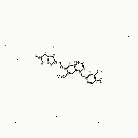 COc1cc2c(Nc3ccc(Cl)c(Cl)c3)ncnc2cc1OCC1CC2CN(C)CC2C1